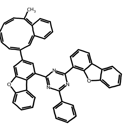 Cc1cccccc(-c2cc(-c3nc(-c4ccccc4)nc(-c4cccc5c4oc4ccccc45)n3)c3c(c2)oc2ccccc23)cc2ccccc12